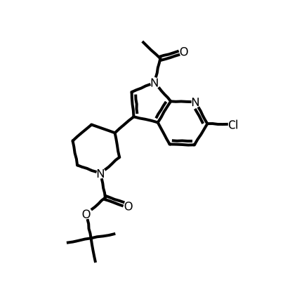 CC(=O)n1cc(C2CCCN(C(=O)OC(C)(C)C)C2)c2ccc(Cl)nc21